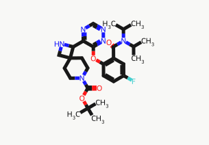 CC(C)N(C(=O)c1cc(F)ccc1Oc1nncnc1C1NCC12CCN(C(=O)OC(C)(C)C)CC2)C(C)C